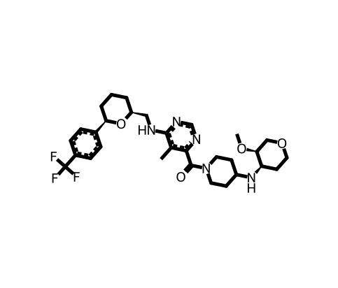 CO[C@H]1COCC[C@H]1NC1CCN(C(=O)c2ncnc(NC[C@@H]3CCC[C@H](c4ccc(C(F)(F)F)cc4)O3)c2C)CC1